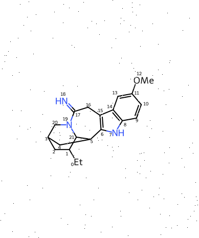 CCC1CC2CC3c4[nH]c5ccc(OC)cc5c4CC(=N)N(C2)C13